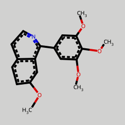 COc1ccc2ccnc(-c3cc(OC)c(OC)c(OC)c3)c2c1